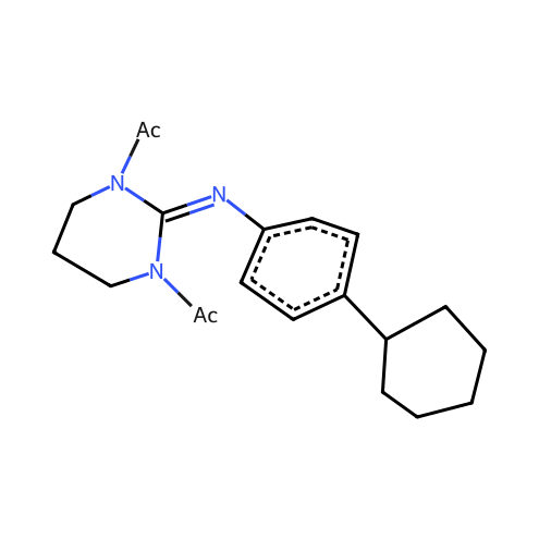 CC(=O)N1CCCN(C(C)=O)C1=Nc1ccc(C2CCCCC2)cc1